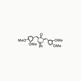 COc1ccc(/C=C2\CN(C(C)C)C/C(=C\c3ccc(OC)c(OC)c3)C2=O)cc1OC